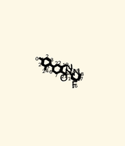 Cc1ccc(C2CCc3c(cnn(-c4cc(F)ccn4)c3=O)C2)c(C)c1